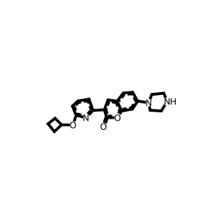 O=c1oc2cc(N3CCNCC3)ccc2cc1-c1cccc(OC2CCC2)n1